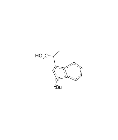 CC(C(=O)O)c1cn(C(C)(C)C)c2ccccc12